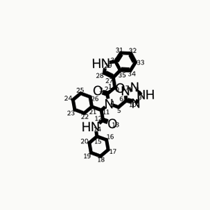 O=C(C(=O)N(Cc1nn[nH]n1)C(C(=O)NC1CCCCC1)C1CCCCC1)c1c[nH]c2ccccc12